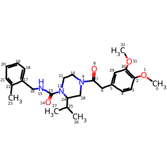 COc1ccc(CC(=O)N2CCN(C(=O)NCc3ccccc3C)C(C(C)C)C2)cc1OC